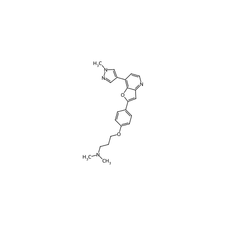 CN(C)CCCOc1ccc(-c2cc3nccc(-c4cnn(C)c4)c3o2)cc1